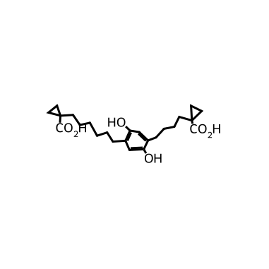 O=C(O)C1(CCCCCCc2cc(O)c(CCCCC3(C(=O)O)CC3)cc2O)CC1